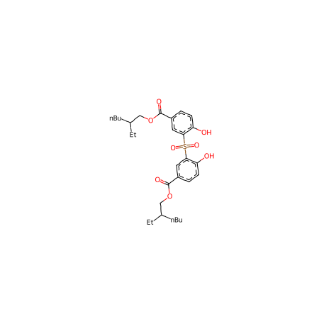 CCCCC(CC)COC(=O)c1ccc(O)c(S(=O)(=O)c2cc(C(=O)OCC(CC)CCCC)ccc2O)c1